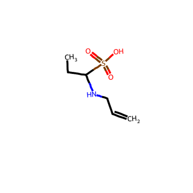 C=CCNC(CC)S(=O)(=O)O